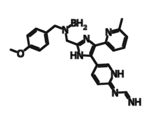 BN(Cc1ccc(OC)cc1)Cc1nc(-c2cccc(C)n2)c(-c2cc/c(=N/C=N)[nH]c2)[nH]1